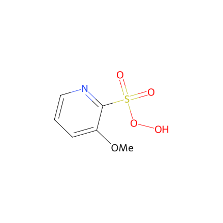 COc1cccnc1S(=O)(=O)OO